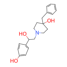 Oc1ccc(C(O)CN2CCC(O)(Cc3ccccc3)CC2)cc1